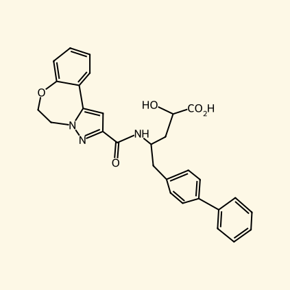 O=C(NC(Cc1ccc(-c2ccccc2)cc1)CC(O)C(=O)O)c1cc2n(n1)CCOc1ccccc1-2